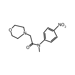 CN(C(=O)CN1CCOCC1)c1ccc([N+](=O)[O-])cc1